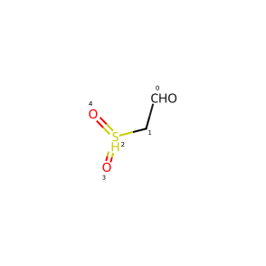 O=CC[SH](=O)=O